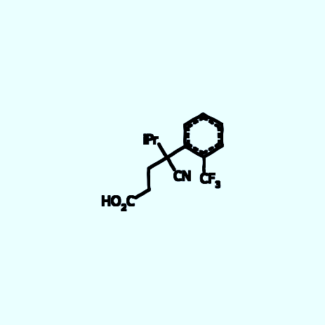 CC(C)C(C#N)(CCC(=O)O)c1ccccc1C(F)(F)F